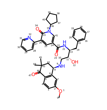 COc1ccc2c(c1)[C@H](NC[C@@H](O)[C@H](Cc1ccccc1)NC(=O)c1cc(-c3ccccn3)c(=O)n(C3CCCC3)c1)CC(C)(C)C2=O